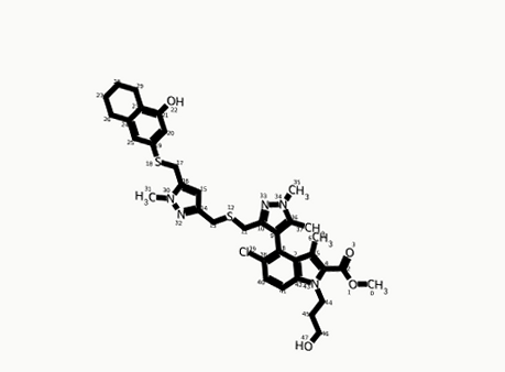 COC(=O)c1c(C)c2c(-c3c(CSCc4cc(CSc5cc(O)c6c(c5)CCCC6)n(C)n4)nn(C)c3C)c(Cl)ccc2n1CCCO